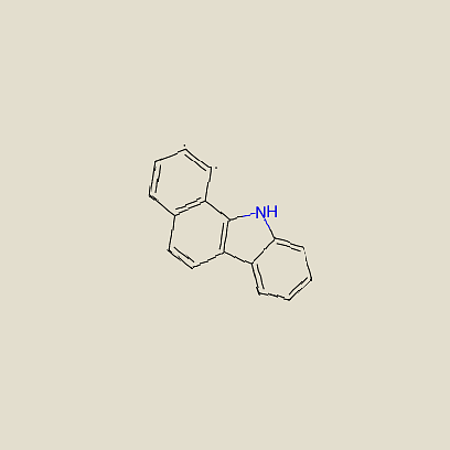 [c]1[c]c2c(cc1)ccc1c3ccccc3[nH]c21